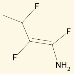 CC(F)C(F)=C(N)F